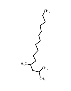 [CH2]C(C)CC(C)CCCCCCCCCCC